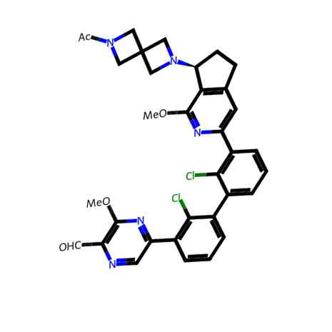 COc1nc(-c2cccc(-c3cccc(-c4cc5c(c(OC)n4)[C@@H](N4CC6(CN(C(C)=O)C6)C4)CC5)c3Cl)c2Cl)cnc1C=O